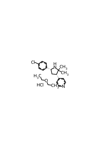 CC1(C)N[C@@H](c2ccc(Cl)cc2)C[C@H]1c1ccncc1.CCOCC.Cl